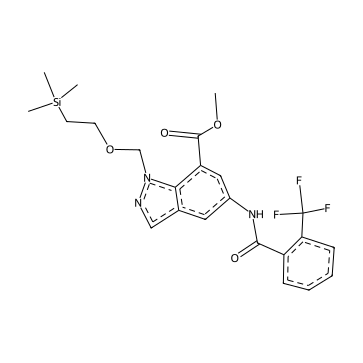 COC(=O)c1cc(NC(=O)c2ccccc2C(F)(F)F)cc2cnn(COCC[Si](C)(C)C)c12